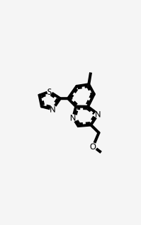 COCc1cnc2c(-c3nccs3)cc(C)cc2n1